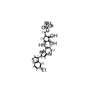 CCc1ccc2scc(-c3cc4nccc(N[C@@H]5CC(COS(N)(=O)=O)[C@@H](O)[C@H]5O)n4n3)c2c1